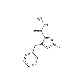 C[n+]1cc(C(=O)NN)n(Cc2ccccc2)c1